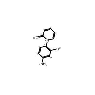 Nc1ccc(-n2ccccc2=O)c(Cl)c1